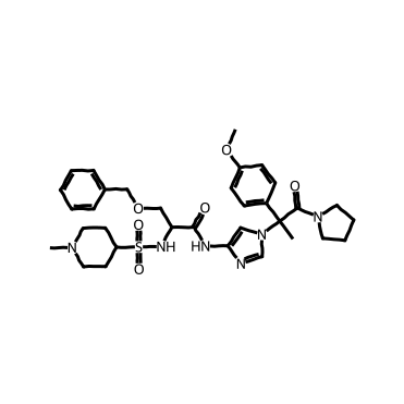 COc1ccc(C(C)(C(=O)N2CCCC2)n2cnc(NC(=O)C(COCc3ccccc3)NS(=O)(=O)C3CCN(C)CC3)c2)cc1